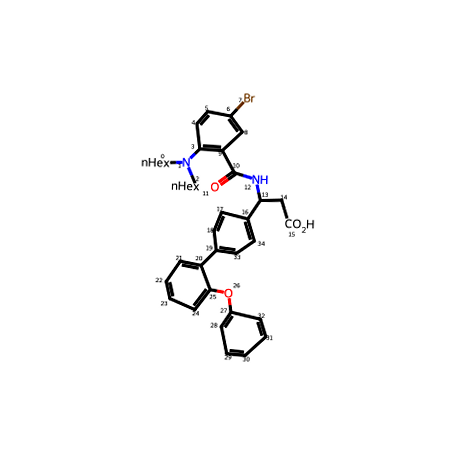 CCCCCCN(CCCCCC)c1ccc(Br)cc1C(=O)NC(CC(=O)O)c1ccc(-c2ccccc2Oc2ccccc2)cc1